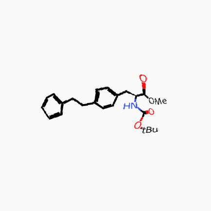 COC(=O)[C@H](Cc1ccc(CCc2ccccc2)cc1)NC(=O)OC(C)(C)C